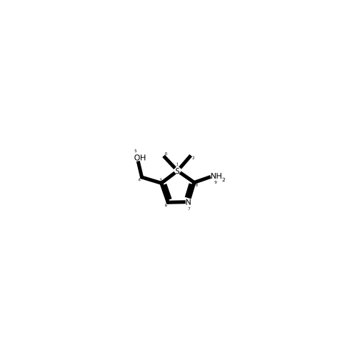 CS1(C)C(CO)=CN=C1N